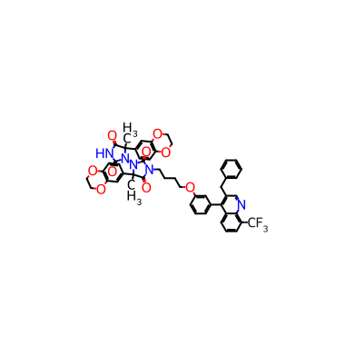 CC1(c2ccc3c(c2)OCCO3)C(=O)NC(=O)N1N1C(=O)N(CCCCOc2cccc(-c3c(Cc4ccccc4)cnc4c(C(F)(F)F)cccc34)c2)C(=O)C1(C)c1ccc2c(c1)OCCO2